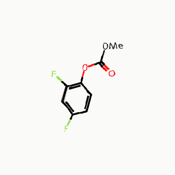 COC(=O)Oc1ccc(F)cc1F